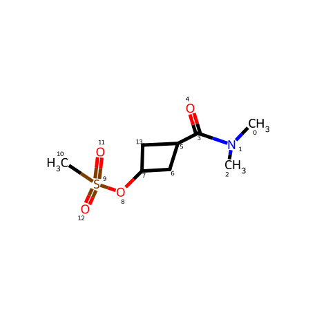 CN(C)C(=O)C1CC(OS(C)(=O)=O)C1